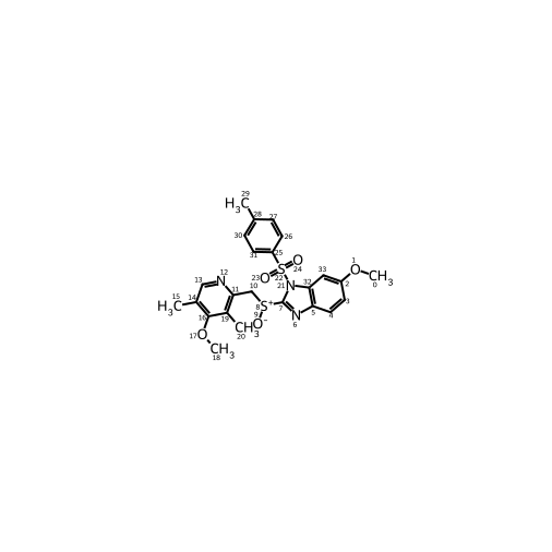 COc1ccc2nc([S+]([O-])Cc3ncc(C)c(OC)c3C)n(S(=O)(=O)c3ccc(C)cc3)c2c1